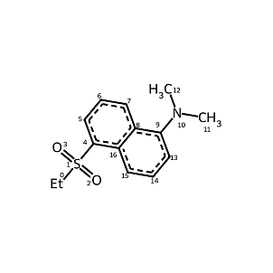 [CH2]CS(=O)(=O)c1cccc2c(N(C)C)cccc12